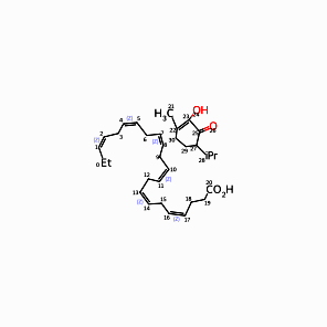 CC/C=C\C/C=C\C/C=C\C/C=C\C/C=C\C/C=C\CCC(=O)O.CC1=C(O)C(=O)C(C(C)C)CC1